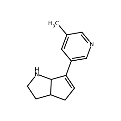 Cc1cncc(C2=CCC3CCNC23)c1